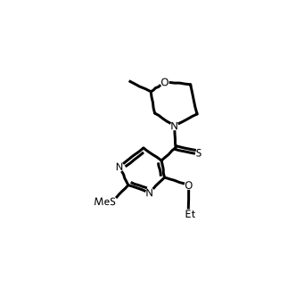 CCOc1nc(SC)ncc1C(=S)N1CCOC(C)C1